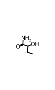 C[CH]C(O)C(N)=O